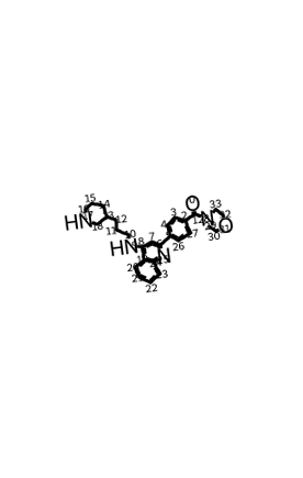 O=C(c1ccc(-c2cc(NCCCC3CCCNC3)c3ccccc3n2)cc1)N1CCOCC1